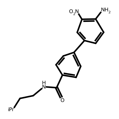 CC(C)CCNC(=O)c1ccc(-c2ccc(N)c([N+](=O)[O-])c2)cc1